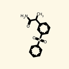 CC(C(N)=O)c1cccc(S(=O)(=O)c2ccccc2)c1